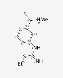 CCSC(=N)Nc1cccc(C(C)NC)c1